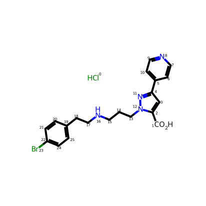 Cl.O=C(O)c1cc(-c2ccncc2)nn1CCCNCCc1ccc(Br)cc1